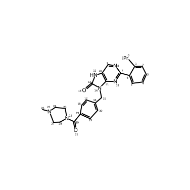 CC(C)c1ccccc1-c1ncc2[nH]c(=O)n(Cc3ccc(C(=O)N4CCN(C)CC4)cc3)c2n1